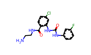 NCCNC(=O)c1ccc(Cl)cc1NC(=O)Nc1cccc(F)c1